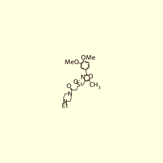 CCN1CCN(C(=O)C[S+]([O-])Cc2nc(-c3ccc(OC)c(OC)c3)oc2C)CC1